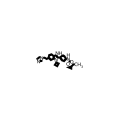 CC(OC(=O)Nc1ccc(-c2c(N)c3ccc(CCN4C=NCC4)cc3n2C2CCC2)cc1)C1CC1